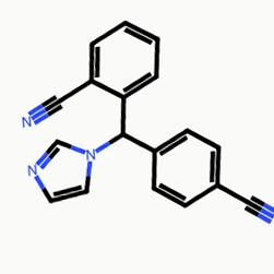 N#Cc1ccc(C(c2ccccc2C#N)n2ccnc2)cc1